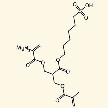 C=C(C)C(=O)OCC(COC(=O)C(=C)C)C(=O)OCCCCCCS(=O)(=O)O.[MgH2]